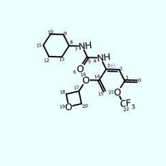 C=C(/C=C(/NC(=O)NC1CCCCC1)C(=C)OC1COC1)OC(F)(F)F